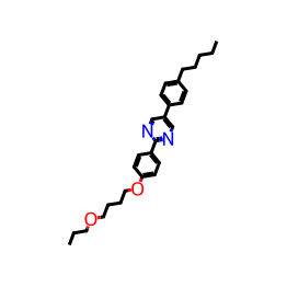 CCCCCc1ccc(-c2cnc(-c3ccc(OCCCCOCCC)cc3)nc2)cc1